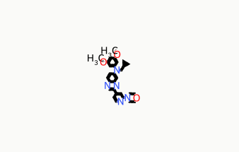 COc1cc(OC)cc(N(CC2CC2)c2ccc3ncc(-c4ccnc(N5CCOCC5)c4)nc3c2)c1